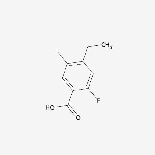 CCc1cc(F)c(C(=O)O)cc1I